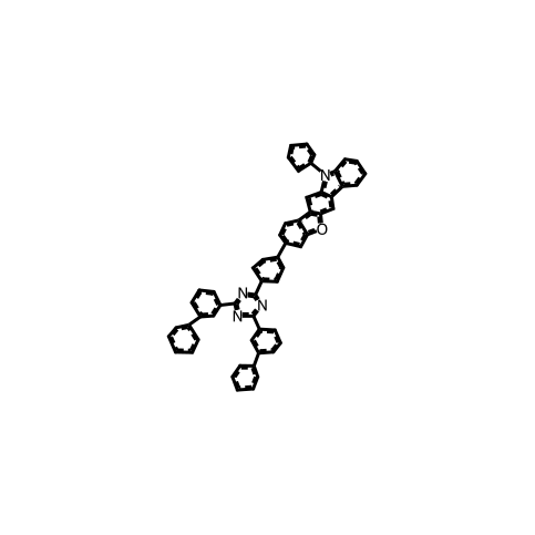 c1ccc(-c2cccc(-c3nc(-c4ccc(-c5ccc6c(c5)oc5cc7c8ccccc8n(-c8ccccc8)c7cc56)cc4)nc(-c4cccc(-c5ccccc5)c4)n3)c2)cc1